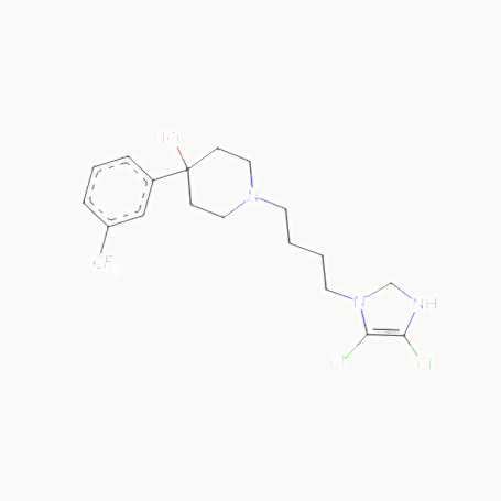 OC1(c2cccc(C(F)(F)F)c2)CCN(CCCCN2CNC(Cl)=C2Cl)CC1